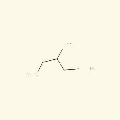 CNCC(CC(=O)O)SC